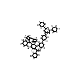 c1ccc(-c2cc(-c3ccc(-c4ccc5nc(-c6ccccc6)c6cc7c(cc6c5c4)C4(c5ccccc5S7)c5ccccc5-c5ccccc54)cc3)nc(-c3ccccc3)n2)cc1